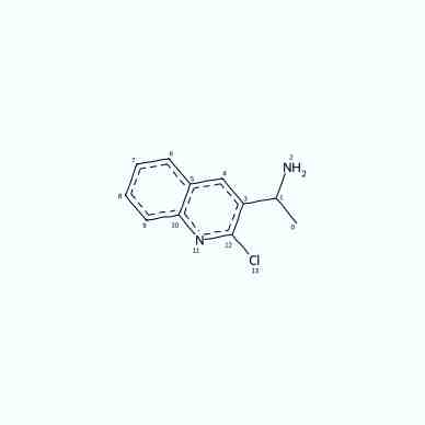 CC(N)c1cc2ccccc2nc1Cl